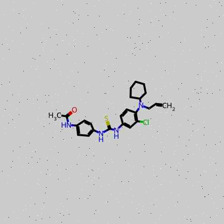 C=CCN(c1ccc(NC(=S)Nc2ccc(NC(C)=O)cc2)cc1Cl)C1CCCCC1